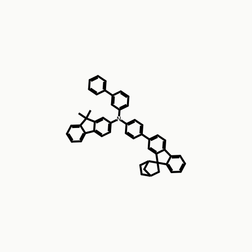 CC1(C)c2ccccc2-c2ccc(N(c3ccc(-c4ccc5c(c4)C4(CC6CCC4C6)c4ccccc4-5)cc3)c3cccc(-c4ccccc4)c3)cc21